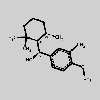 COc1ccc([C@@H](O)[C@@H]2[C@@H](C)CCCC2(C)C)cc1C